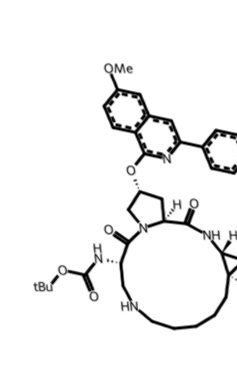 COc1ccc2c(O[C@@H]3C[C@H]4C(=O)N[C@@H]5C[C@H]5CCCCCNC[C@H](NC(=O)OC(C)(C)C)C(=O)N4C3)nc(-c3ccccc3)cc2c1